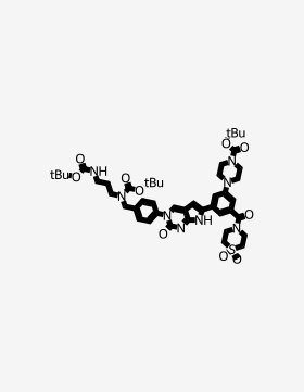 CC(C)(C)OC(=O)NCCCN(Cc1ccc(-n2cc3cc(-c4cc(C(=O)N5CCS(=O)(=O)CC5)cc(N5CCN(C(=O)OC(C)(C)C)CC5)c4)[nH]c3nc2=O)cc1)C(=O)OC(C)(C)C